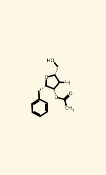 [2H]C1[C@@H](CO)O[C@@H](Cc2ccccc2)[C@H]1OC(C)=O